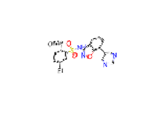 CCc1ccc(OC)c(S(=O)(=O)Nc2noc3c(-c4cncnc4)cccc23)c1